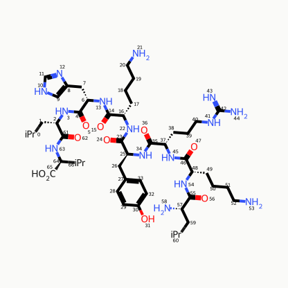 CC(C)C[C@H](NC(=O)[C@H](Cc1c[nH]cn1)NC(=O)[C@H](CCCCN)NC(=O)[C@H](Cc1ccc(O)cc1)NC(=O)[C@H](CCCNC(=N)N)NC(=O)[C@H](CCCCN)NC(=O)[C@@H](N)CC(C)C)C(=O)N[C@H](C(=O)O)C(C)C